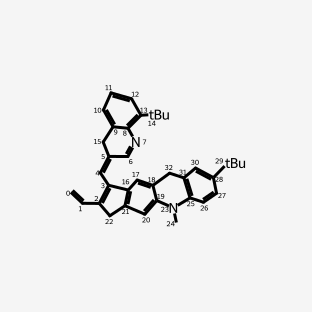 C=CC1=C(/C=C2\C=Nc3c(cccc3C(C)(C)C)C2)c2cc3c(cc2C1)N(C)c1ccc(C(C)(C)C)cc1C3